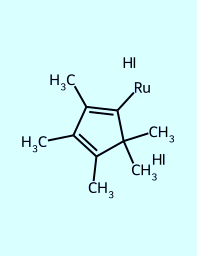 CC1=C(C)C(C)(C)[C]([Ru])=C1C.I.I